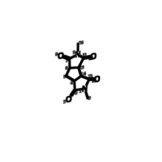 CN1C(=O)C2CC3C(=O)N(C)C(=O)C3C2C1=O